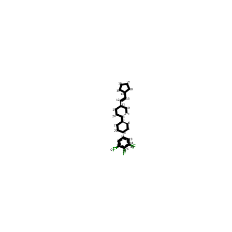 Fc1cc([C@H]2CC[C@H]([C@H]3CC[C@H](C=CC4CCCC4)CC3)CC2)cc(F)c1F